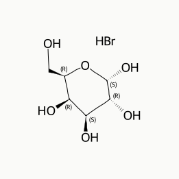 Br.OC[C@H]1O[C@H](O)[C@H](O)[C@@H](O)[C@H]1O